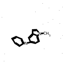 Cn1[c]cc2cc(Nc3ccccc3)ccc21